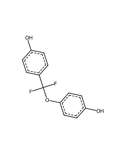 Oc1ccc(OC(F)(F)c2ccc(O)cc2)cc1